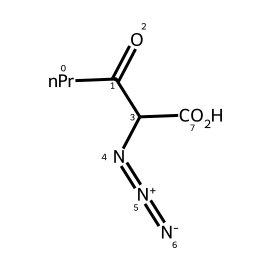 CCCC(=O)C(N=[N+]=[N-])C(=O)O